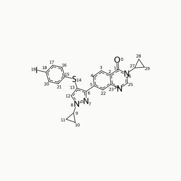 O=c1c2ccc(-c3nn(C4CC4)cc3Sc3ccc(I)cc3)cc2ncn1C1CC1